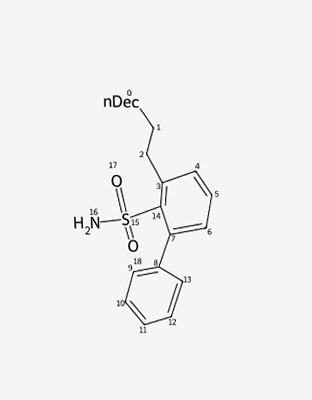 CCCCCCCCCCCCc1cccc(-c2ccccc2)c1S(N)(=O)=O